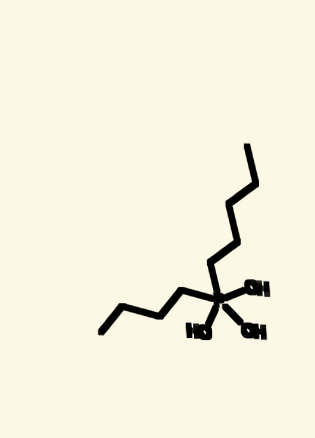 CCCCCP(O)(O)(O)CCCC